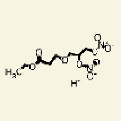 CCOC(=O)CCOC[C@@H](CO[N+](=O)[O-])O[N+](=O)[O-].[H+]